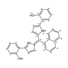 Oc1ccccc1C1=N/C(=C(\c2ccc(-c3ccccc3O)[nH]2)c2cccc3ccccc23)C=C1